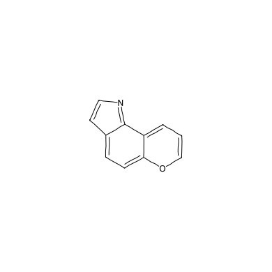 c1coc2ccc3ccnc3c2c1